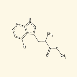 COC(=O)C(N)Cc1c[nH]c2nccc(Cl)c12